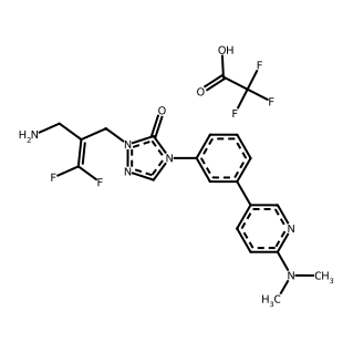 CN(C)c1ccc(-c2cccc(-n3cnn(CC(CN)=C(F)F)c3=O)c2)cn1.O=C(O)C(F)(F)F